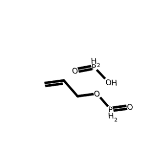 C=CCO[PH2]=O.O=[PH2]O